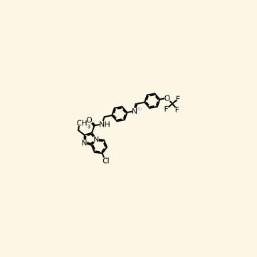 CCc1nc2cc(Cl)ccn2c1C(=O)NCc1ccc(/N=C/c2ccc(OC(F)(F)F)cc2)cc1